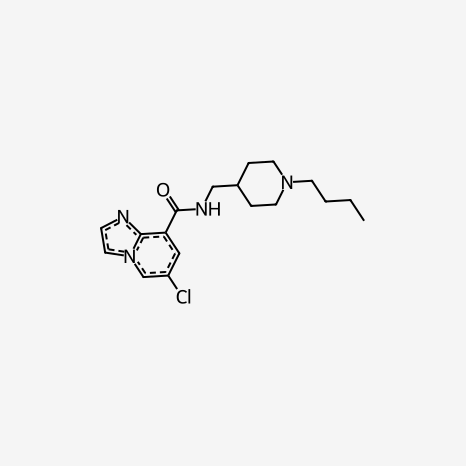 CCCCN1CCC(CNC(=O)c2cc(Cl)cn3ccnc23)CC1